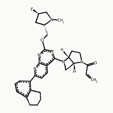 C=CC(=O)N1CC[C@@H]2[C@H]1CN2c1nc(OC[C@@H]2C[C@@H](F)CN2C)nc2nc(-c3cccc4c3CCCC4)ccc12